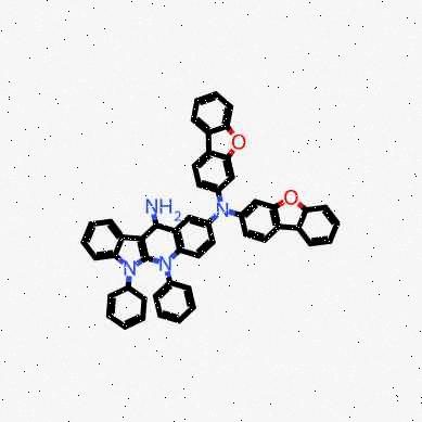 NC1c2cc(N(c3ccc4c(c3)OC3C=CC=CC43)c3ccc4c(c3)oc3ccccc34)ccc2N(c2ccccc2)c2c1c1ccccc1n2C1C=CC=CC1